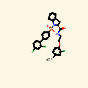 O=C(O)c1ccc(OCCNC(=O)[C@@H]2Cc3ccccc3N2S(=O)(=O)c2ccc(-c3ccc(F)cc3F)cc2)c(F)c1